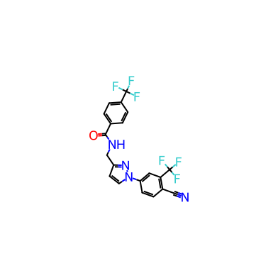 N#Cc1ccc(-n2ccc(CNC(=O)c3ccc(C(F)(F)F)cc3)n2)cc1C(F)(F)F